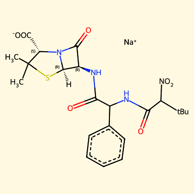 CC(C)(C)C(C(=O)NC(C(=O)N[C@@H]1C(=O)N2[C@@H]1SC(C)(C)[C@@H]2C(=O)[O-])c1ccccc1)[N+](=O)[O-].[Na+]